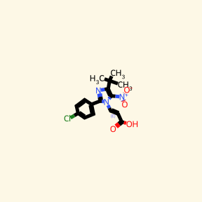 CC(C)(C)c1nc(-c2ccc(Cl)cc2)n(/C=C/C(=O)O)c1[N+](=O)[O-]